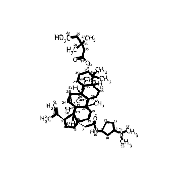 C=C(C)[C@@H]1CC[C@]2(CC(=O)NC3CCC(N(C)C)C3)CC[C@]3(C)[C@H](CC[C@@H]4[C@@]5(C)CC[C@H](OC(=O)CC(C)(C)CC(=O)O)C(C)(C)[C@@H]5CC[C@]43C)[C@@H]12